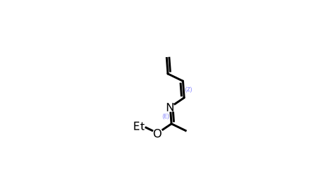 C=C/C=C\N=C(/C)OCC